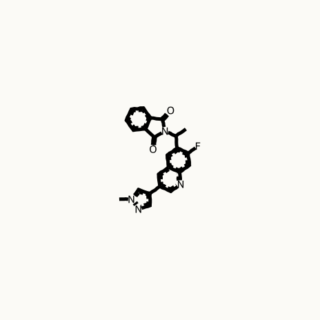 CC(c1cc2cc(-c3cnn(C)c3)cnc2cc1F)N1C(=O)c2ccccc2C1=O